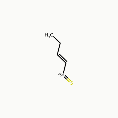 CCC=[CH][Sn]=[S]